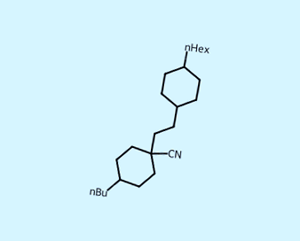 CCCCCCC1CCC(CCC2(C#N)CCC(CCCC)CC2)CC1